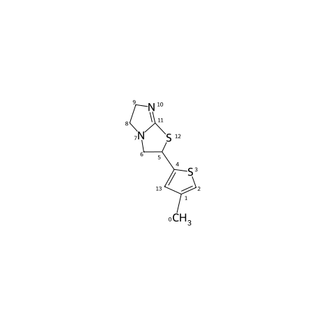 Cc1csc(C2CN3CCN=C3S2)c1